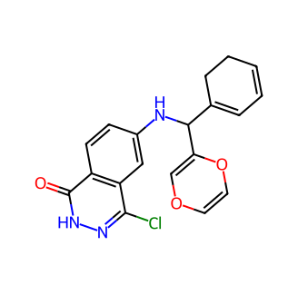 O=c1[nH]nc(Cl)c2cc(NC(C3=CC=CCC3)C3=COC=CO3)ccc12